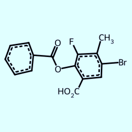 Cc1c(Br)cc(C(=O)O)c(OC(=O)c2ccccc2)c1F